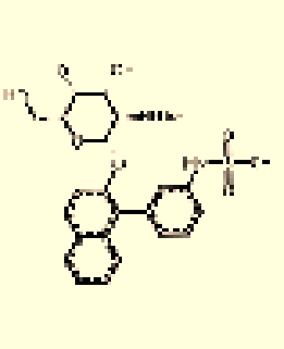 CC(=O)N[C@H]1[C@H](Oc2ccc3ccccc3c2-c2cccc(NS(C)(=O)=O)c2)O[C@H](CO)[C@H](O)[C@@H]1O